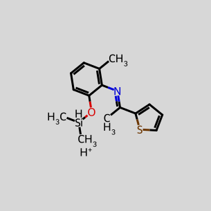 CC(=Nc1c(C)cccc1O[SiH](C)C)c1cccs1.[H+]